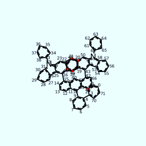 c1ccc(-c2ccccc2-c2c3cccc(-c4c5ccccc5cc5c4c4ccccc4n5-c4ccccc4)c3cc3c(-c4c5ccccc5cc5c4c4ccccc4n5-c4ccccc4)cccc23)cc1